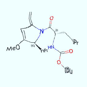 C=C1C=C(OC)[C@H](CCC)N1C(=O)[C@H](CC(C)C)NC(=O)OC(C)(C)C